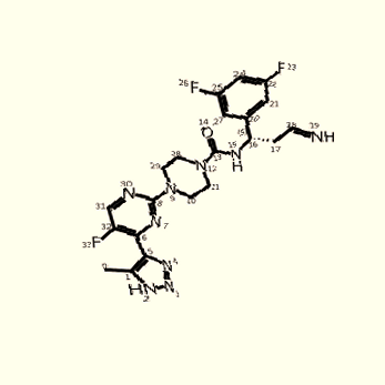 Cc1[nH]nnc1-c1nc(N2CCN(C(=O)N[C@@H](CC=N)c3cc(F)cc(F)c3)CC2)ncc1F